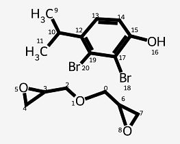 C(OCC1CO1)C1CO1.CC(C)c1ccc(O)c(Br)c1Br